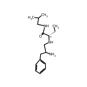 CC[C@H](NCC(N)Cc1ccccc1)C(=O)NCC(C)C